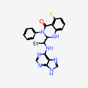 CCC(Nc1ncnc2[nH]cnc12)C1Nc2cccc(F)c2C(=O)N1c1ccccc1